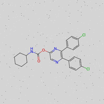 O=C(NC1CCCCC1)Oc1cnc(-c2ccc(Cl)cc2)c(-c2ccc(Cl)cc2)n1